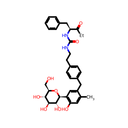 CCC(=O)[C@H](Cc1ccccc1)NC(=O)NCCc1ccc(Cc2cc([C@@H]3O[C@H](CO)[C@@H](O)[C@H](O)[C@H]3O)c(O)cc2C)cc1